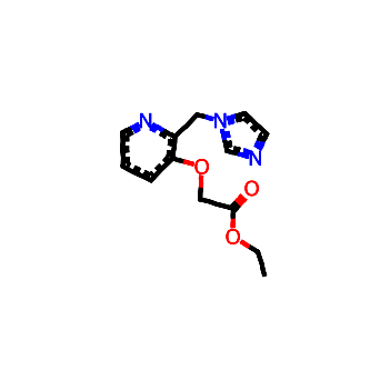 CCOC(=O)COc1cccnc1Cn1ccnc1